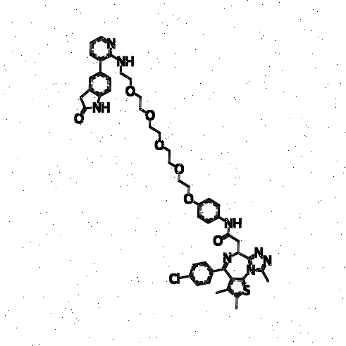 Cc1sc2c(c1C)C(c1ccc(Cl)cc1)=NC(CC(=O)Nc1ccc(OCCOCCOCCOCCOCCNc3ncccc3-c3ccc4c(c3)CC(=O)N4)cc1)c1nnc(C)n1-2